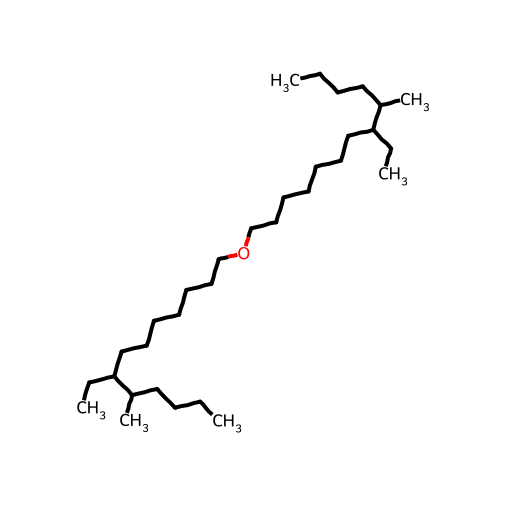 CCCCC(C)C(CC)CCCCCCCOCCCCCCCC(CC)C(C)CCCC